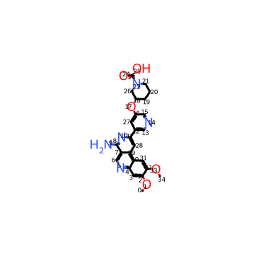 COc1cc2ncc3c(N)nc(-c4cncc(O[C@@H]5CCCN(C(=O)O)C5)c4)cc3c2cc1OC